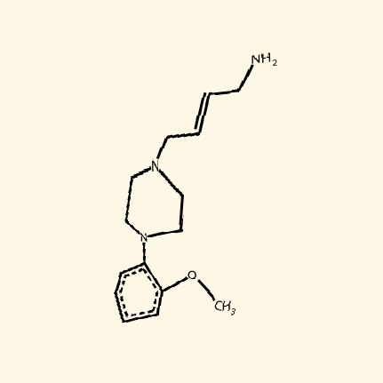 COc1ccccc1N1CCN(CC=CCN)CC1